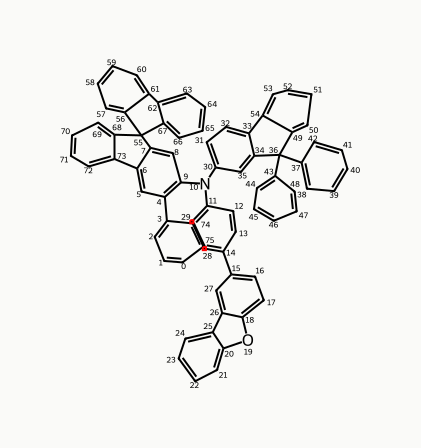 c1ccc(-c2cc3c(cc2N(c2ccc(-c4ccc5oc6ccccc6c5c4)cc2)c2ccc4c(c2)C(c2ccccc2)(c2ccccc2)c2ccccc2-4)C2(c4ccccc4-c4ccccc42)c2ccccc2-3)cc1